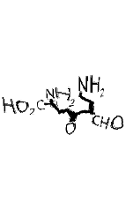 NCCC(C=O)C(=O)CC[C@H](N)C(=O)O